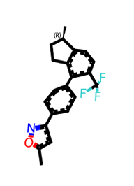 Cc1cc(-c2ccc(-c3c(C(F)(F)F)ccc4c3CC[C@H]4C)cc2)no1